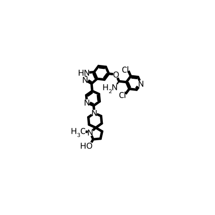 CN1C(O)CCC12CCN(c1ccc(-c3n[nH]c4ccc(O[C@H](N)c5c(Cl)cncc5Cl)cc34)cn1)CC2